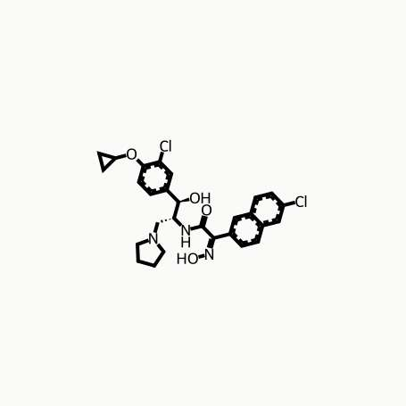 O=C(N[C@H](CN1CCCC1)[C@H](O)c1ccc(OC2CC2)c(Cl)c1)C(=NO)c1ccc2cc(Cl)ccc2c1